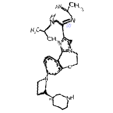 CC(=N)/N=C(\NC(C)C)c1cn2c(n1)-c1ccc(N3CCC3[C@@H]3CCCNC3)cc1OCC2